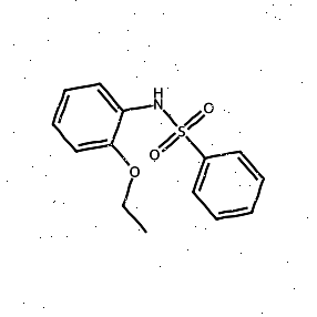 CCOc1ccccc1NS(=O)(=O)c1ccccc1